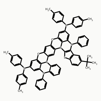 Cc1ccc(N(c2ccc(C)cc2)c2cc3c4c(c2)N(c2ccccc2)c2ccccc2B4c2cc4c(cc2O3)Oc2cc(N(c3ccc(C)cc3)c3ccc(C)cc3)cc3c2B4c2sc4ccc(C(C)(C)C)cc4c2N3c2ccccc2)cc1